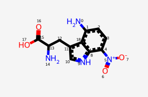 Nc1ccc([N+](=O)[O-])c2[nH]cc(CC(N)C(=O)O)c12